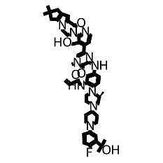 C=CC(=O)Nc1cc(Nc2nc(-c3ccnc(N4CCn5c(cc6c5CC(C)(C)C6)C4=O)c3CO)cn(C)c2=O)ccc1N1CCN(C2CCN(c3ccc(F)c(C(C)(C)O)c3)CC2)C[C@@H]1C